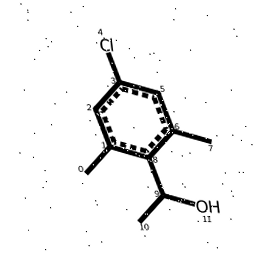 Cc1cc(Cl)cc(C)c1C(C)O